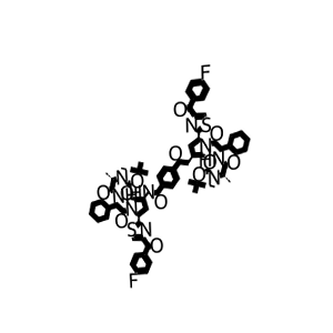 C[C@@H](C(=O)N[C@H](C(=O)N1C[C@@H](CC(=O)c2ccc(C(=O)N[C@H]3C[C@@H](c4nc(C(=O)c5ccc(F)cc5)cs4)N(C(=O)[C@@H](NC(=O)[C@H](C)N(C)C(=O)OC(C)(C)C)C4CCCCC4)C3)cc2)C[C@H]1c1nc(C(=O)c2ccc(F)cc2)cs1)C1CCCCC1)N(C)C(=O)OC(C)(C)C